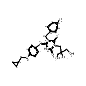 CC(CO)(CO)Cn1c(=O)[nH]/c(=N\c2ccc(OCC3CC3)cc2)n(Cc2ccc(Cl)cc2)c1=O